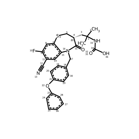 CC(C)(C[C@H]1CSc2cc(F)c(C#N)cc2N(Cc2ccc(Oc3ccccc3)cc2)C1=O)NC(=O)O